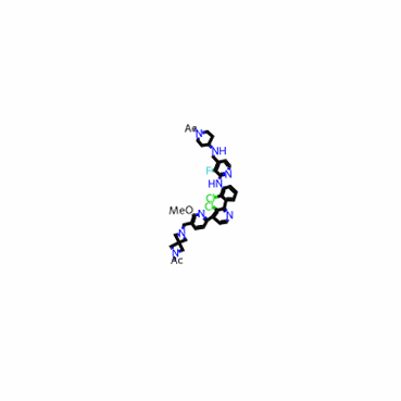 COc1nc(-c2ccnc(-c3cccc(Nc4nccc(CNC5CCN(C(C)=O)CC5)c4F)c3Cl)c2Cl)ccc1CN1CC2(C1)CN(C(C)=O)C2